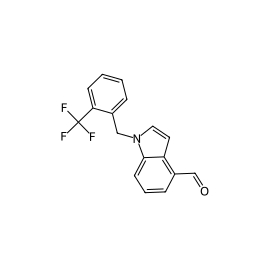 O=Cc1cccc2c1ccn2Cc1ccccc1C(F)(F)F